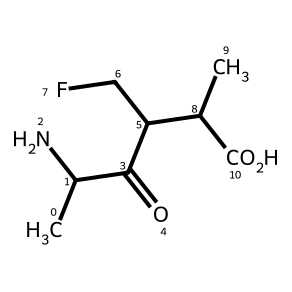 CC(N)C(=O)C(CF)C(C)C(=O)O